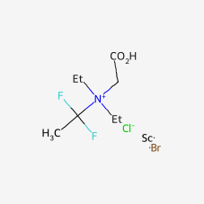 CC[N+](CC)(CC(=O)O)C(C)(F)F.[Br].[Cl-].[Sc]